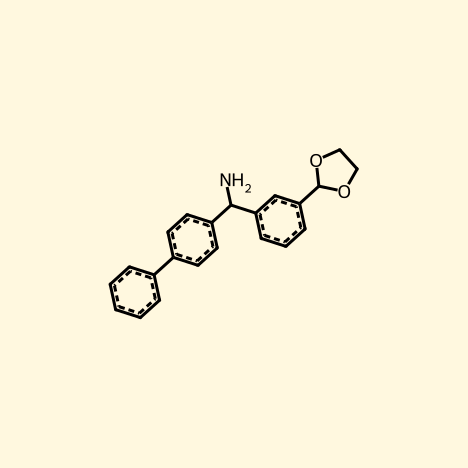 NC(c1ccc(-c2ccccc2)cc1)c1cccc(C2OCCO2)c1